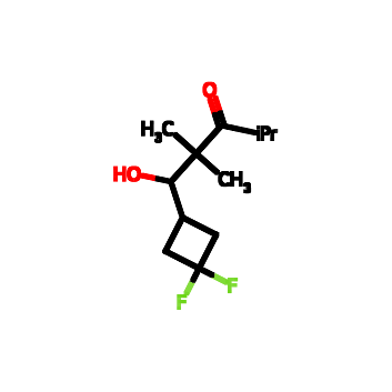 CC(C)C(=O)C(C)(C)C(O)C1CC(F)(F)C1